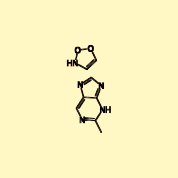 C1=COON1.Cc1ncc2ncnc-2[nH]1